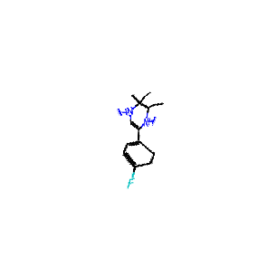 CC1NC(C2=CC=C(F)CC2)=CNC1(C)C